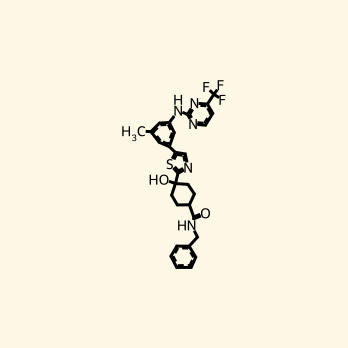 Cc1cc(Nc2nccc(C(F)(F)F)n2)cc(-c2cnc(C3(O)CCC(C(=O)NCc4ccccc4)CC3)s2)c1